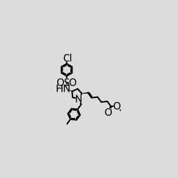 COC(=O)CCCC=C[C@@H]1C[C@@H](NS(=O)(=O)c2ccc(Cl)cc2)CN1Cc1ccc(C)cc1